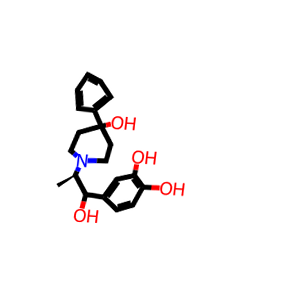 C[C@H](C(O)c1ccc(O)c(O)c1)N1CCC(O)(c2ccccc2)CC1